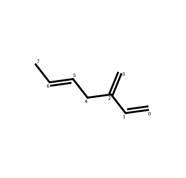 C=CC(=C)CC=CC